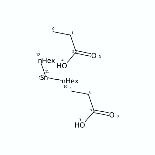 CCC(=O)O.CCC(=O)O.CCCCC[CH2][Sn][CH2]CCCCC